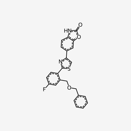 O=c1[nH]c2ccc(-c3csc(-c4ccc(F)cc4COCc4ccccc4)n3)cc2o1